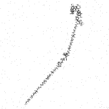 COCCOCCOCCOCCOCCOCCOCCOCCOCCOCCOCCOCCNC(=O)CNCC(=O)NCCN1C=C(COCCOCCOCCOCCOCCOCCOCCCCN(C(=O)OC(C)(C)C)[C@H]2CCN(c3nc4cc([C@@H]5CCCCN5C(=O)c5cc(Cl)ccc5NS(C)(=O)=O)nn4cc3C)C2)NN1